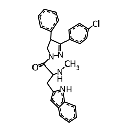 CNC(Cc1cc2ccccc2[nH]1)C(=O)N1CC(c2ccccc2)C(c2ccc(Cl)cc2)=N1